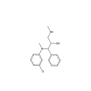 CNCC(O)C(c1ccccc1)N(C)c1cccc(Cl)c1